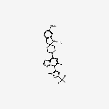 COc1ccc2c(c1)[C@@H](N)C1(CCN(c3nc(C)c(-c4cc(C(C)(F)F)nn4C)n4nccc34)CC1)C2